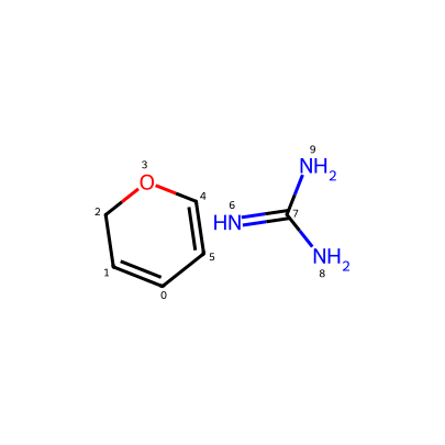 C1=CCOC=C1.N=C(N)N